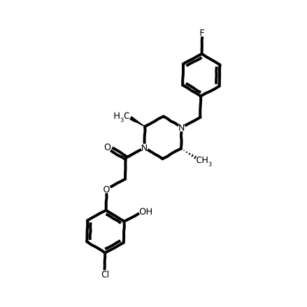 C[C@@H]1CN(C(=O)COc2ccc(Cl)cc2O)[C@@H](C)CN1Cc1ccc(F)cc1